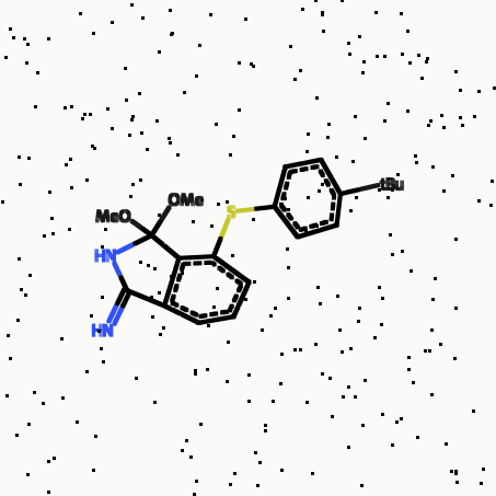 COC1(OC)NC(=N)c2cccc(Sc3ccc(C(C)(C)C)cc3)c21